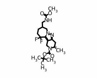 COC(=O)NCC1CCC(F)(F)c2c3c(nn2C1)C[C@@H](C)N(C(=O)OC(C)(C)C)C3